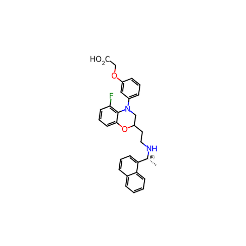 C[C@@H](NCCC1CN(c2cccc(OCC(=O)O)c2)c2c(F)cccc2O1)c1cccc2ccccc12